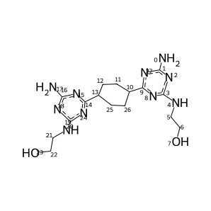 Nc1nc(NCCO)nc(C2CCC(c3nc(N)nc(NCCO)n3)CC2)n1